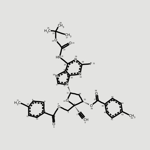 C#C[C@]1(COC(=O)c2ccc(C)cc2)O[C@H](n2cnc3c(NC(=O)OC(C)(C)C)nc(F)nc32)C[C@@H]1OC(=O)c1ccc(C)cc1